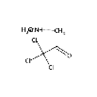 CNC(C)=O.O.O=CC(Cl)(Cl)Cl